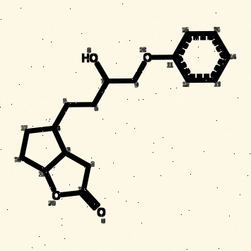 O=C1CC2C(CCC(O)COc3ccccc3)CCC2O1